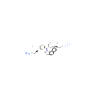 CCC1SC2=C(C[C@H](C#CCCN=[N+]=[N-])[C@@H](C)C2)/C(=C2/c3c(ccc4ccccc34)CC2C)C1C[C@H](C)C#CCCN=[N+]=[N-]